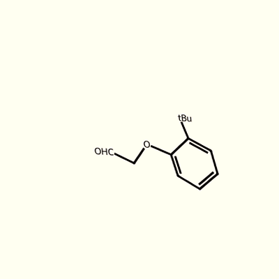 CC(C)(C)c1ccccc1OCC=O